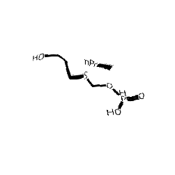 CCCC.O=[PH](O)OCSCCO